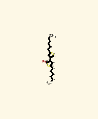 CCCCCCc1cc(-c2cc(CCCCCC)sc2Br)cs1